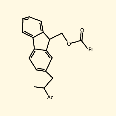 CC(=O)C(C)Cc1ccc2c(c1)C(COC(=O)C(C)C)c1ccccc1-2